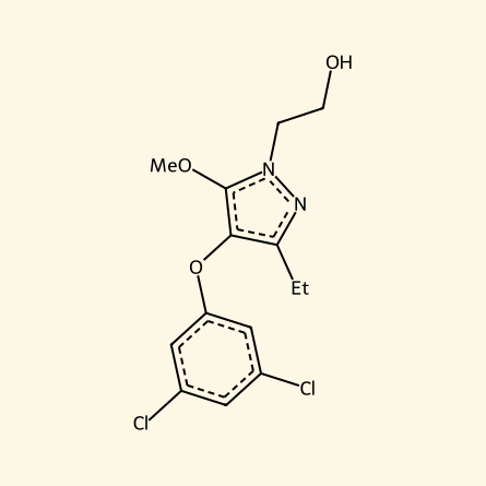 CCc1nn(CCO)c(OC)c1Oc1cc(Cl)cc(Cl)c1